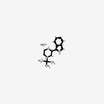 CC(C)(C)N1CCOC(c2occ3ccccc23)C1.Cl